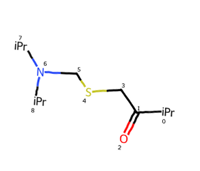 CC(C)C(=O)CSCN(C(C)C)C(C)C